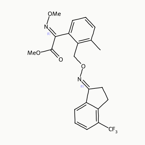 CO/N=C(/C(=O)OC)c1cccc(C)c1CO/N=C1\CCc2c1cccc2C(F)(F)F